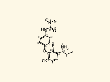 CC[C@@H](N)c1ccc(Cl)c(Oc2ccc(NC(=O)N(C)C)cc2)c1F